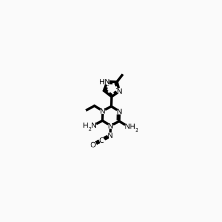 CCN1C(c2c[nH]c(C)n2)N=C(N)N(N=C=O)C1N